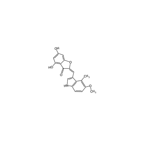 COc1ccc2[nH]cc(C=C3Oc4cc(O)cc(O)c4C3=O)c2c1C